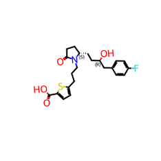 O=C(O)c1ccc(CCCN2C(=O)CC[C@@H]2CC[C@@H](O)Cc2ccc(F)cc2)s1